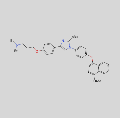 CCCCc1nc(-c2ccc(OCCCN(CC)CC)cc2)cn1-c1ccc(Oc2ccc(OC)c3ccccc23)cc1